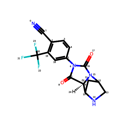 N#Cc1ccc(N2C(=O)[C@@H]3C4CC(CN4)N3C2=O)cc1C(F)(F)F